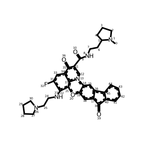 CN1CCCC1CCNC(=O)c1cn2c3cc4c(cc3oc3c(NCCN5CCCC5)c(F)cc(c1=O)c32)c(=O)c1ccccc14